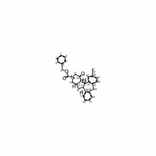 O=C(OCc1ccccc1)N1CC(=O)N2[C@@H](C[C@@H]3c4ccccc4Cc4ccc(F)cc4[C@H]32)C1